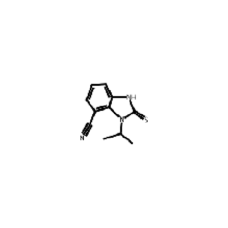 CC(C)n1c(=S)[nH]c2cccc(C#N)c21